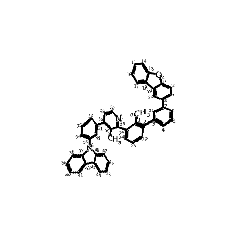 Cc1c(-c2cccc(-c3ccc4oc5ccccc5c4c3)c2)cccc1-c1nccc(-c2cccc(-n3c4ccccc4c4ccccc43)c2)c1C